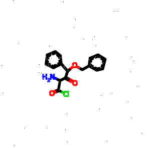 NC(C(=O)Cl)C(=O)C(OCc1ccccc1)c1ccccc1